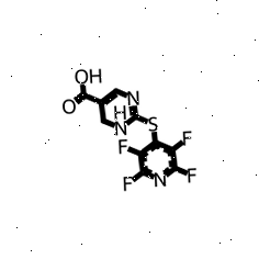 O=C(O)C1=CN=C(Sc2c(F)c(F)nc(F)c2F)NC1